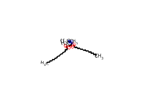 CCCCCCCCC=CCCCCCCCC(=O)OCC(OC(=O)CCCCCCCC=CCCCCCCCC)C(I)[N+](C)(C)C